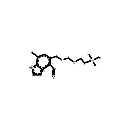 Cc1cc(COCOCC[Si](C)(C)C)c(C=O)c2cc[nH]c12